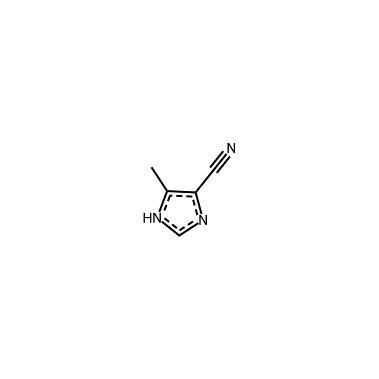 Cc1[nH]cnc1C#N